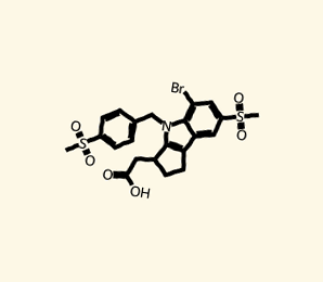 CS(=O)(=O)c1ccc(Cn2c3c(c4cc(S(C)(=O)=O)cc(Br)c42)CCC3CC(=O)O)cc1